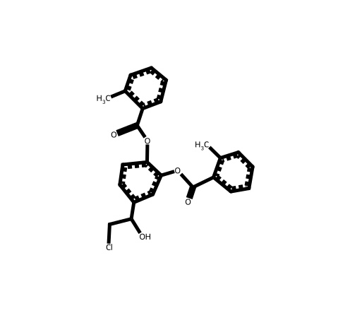 Cc1ccccc1C(=O)Oc1ccc(C(O)CCl)cc1OC(=O)c1ccccc1C